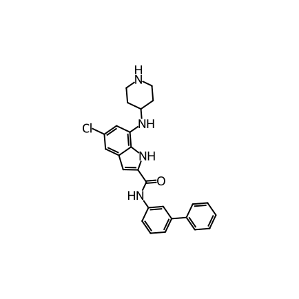 O=C(Nc1cccc(-c2ccccc2)c1)c1cc2cc(Cl)cc(NC3CCNCC3)c2[nH]1